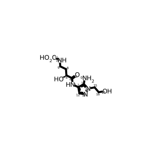 Nc1c(NC(=O)[C@@H](O)CCNC(=O)O)cnn1CCO